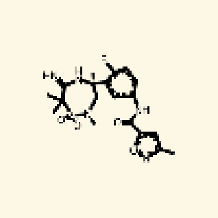 Cc1cc(C(=O)Nc2ccc(F)c([C@]3(C)CN(C)S(=O)(=O)C(C)(C)C(=N)N3)c2)on1